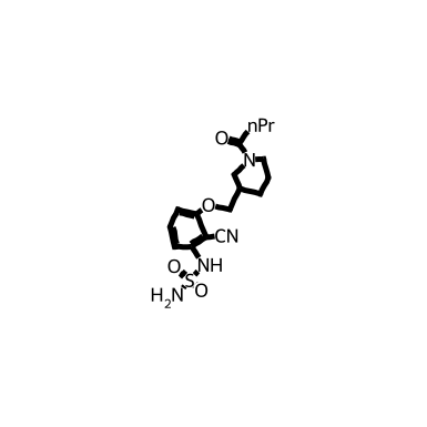 CCCC(=O)N1CCCC(COc2cccc(NS(N)(=O)=O)c2C#N)C1